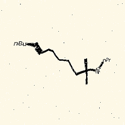 CCCCC=CCCCCC(C)(C)[N]CCC